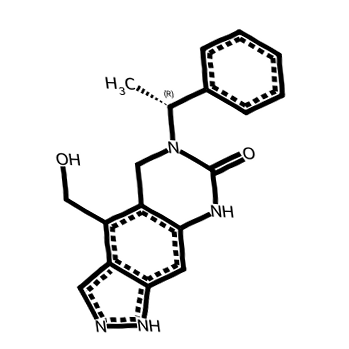 C[C@H](c1ccccc1)N1Cc2c(cc3[nH]ncc3c2CO)NC1=O